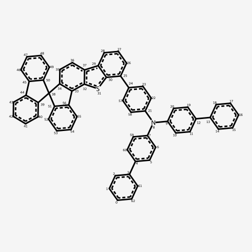 c1ccc(-c2ccc(N(c3ccc(-c4ccccc4)cc3)c3ccc(-c4cccc5c4sc4c6c(ccc45)C4(c5ccccc5-c5ccccc54)c4ccccc4-6)cc3)cc2)cc1